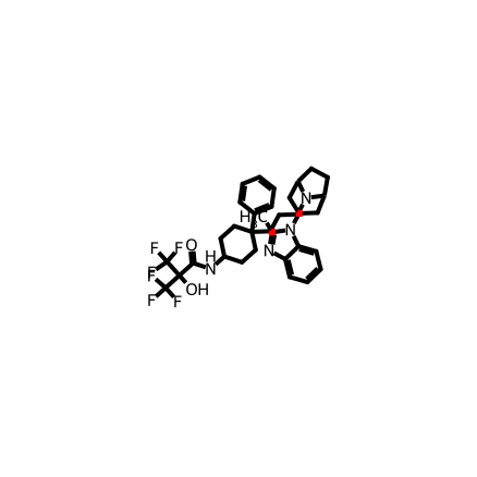 Cc1nc2ccccc2n1C1CC2CCC(C1)N2CCCC1(c2ccccc2)CCC(NC(=O)C(O)(C(F)(F)F)C(F)(F)F)CC1